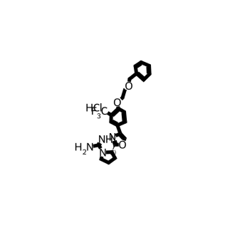 Cl.N=C(N)N1CCC[C@H]1c1nc(-c2ccc(OCCOCc3ccccc3)c(C(F)(F)F)c2)co1